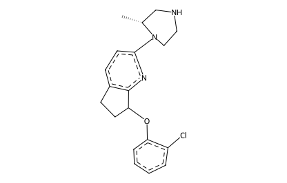 C[C@@H]1CNCCN1c1ccc2c(n1)C(Oc1ccccc1Cl)CC2